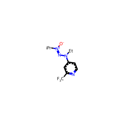 CCN(N=[N+]([O-])C(C)C)c1ccnc(C(F)(F)F)c1